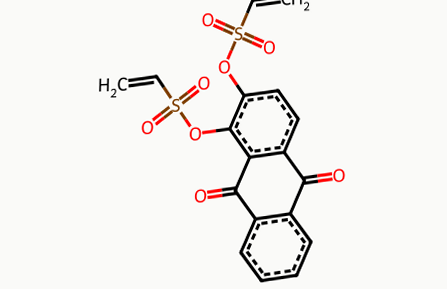 C=CS(=O)(=O)Oc1ccc2c(c1OS(=O)(=O)C=C)C(=O)c1ccccc1C2=O